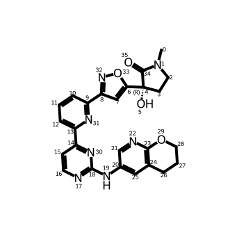 CN1CC[C@@](O)(c2cc(-c3cccc(-c4ccnc(Nc5cnc6c(c5)CCCO6)n4)n3)no2)C1=O